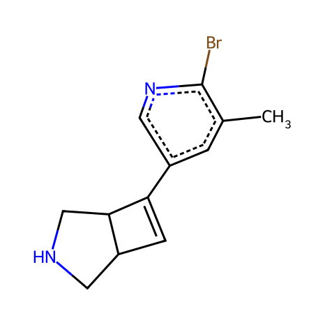 Cc1cc(C2=CC3CNCC23)cnc1Br